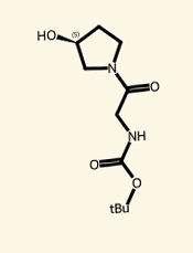 CC(C)(C)OC(=O)NCC(=O)N1CC[C@H](O)C1